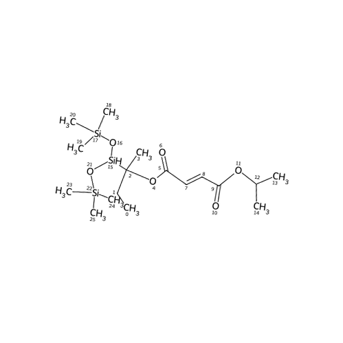 CCC(C)(OC(=O)C=CC(=O)OC(C)C)[SiH](O[Si](C)(C)C)O[Si](C)(C)C